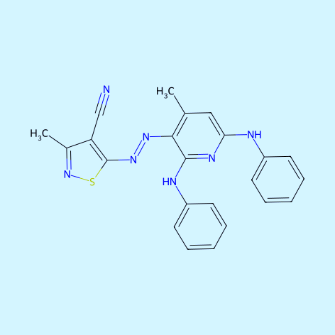 Cc1cc(Nc2ccccc2)nc(Nc2ccccc2)c1N=Nc1snc(C)c1C#N